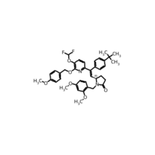 COc1ccc(COc2nc(C(=C[C@H]3CCC(=O)N3Cc3ccc(OC)cc3OC)c3ccc(C(C)(C)C)cc3)ccc2OC(F)F)cc1